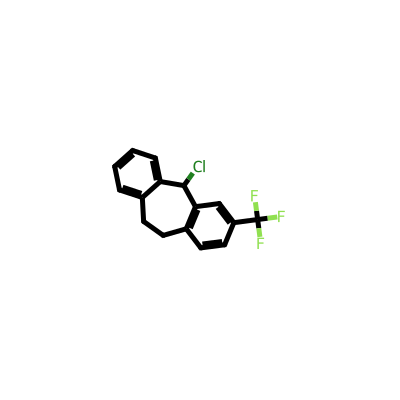 FC(F)(F)c1ccc2c(c1)C(Cl)c1ccccc1CC2